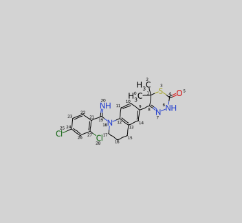 CC1(C)SC(=O)NN=C1c1ccc2c(c1)CCCN2C(=N)c1ccc(Cl)cc1Cl